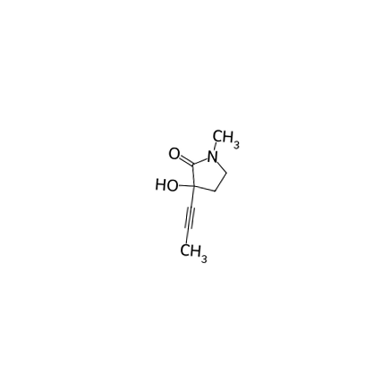 CC#CC1(O)CCN(C)C1=O